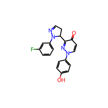 O=c1ccn(-c2ccc(O)cc2)nc1C1CC=NN1c1cccc(F)c1